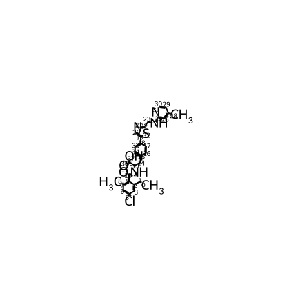 CCc1cc(Cl)cc(C)c1C(=O)NC(Cc1ccc(-c2cnc(CNc3cc(C)ccn3)s2)cc1)C(=O)O